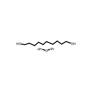 CCCOCCC.OCCCCCCCCCCO